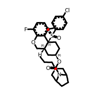 CCCN1CC2CCC(C1)N2C(=O)O[C@@H]1CC[C@@]2(S(=O)(=O)c3ccc(Cl)cc3)c3c(F)ccc(F)c3OC[C@H]2C1